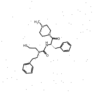 CN1CCN(C(=O)[C@H](Cc2ccccc2)NC(=O)N(CCS)CCc2ccccc2)CC1